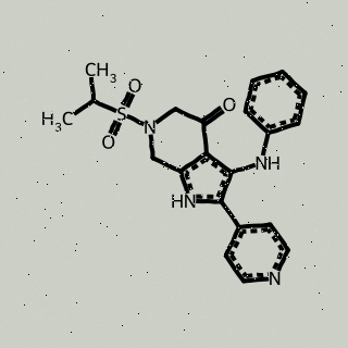 CC(C)S(=O)(=O)N1CC(=O)c2c([nH]c(-c3ccncc3)c2Nc2ccccc2)C1